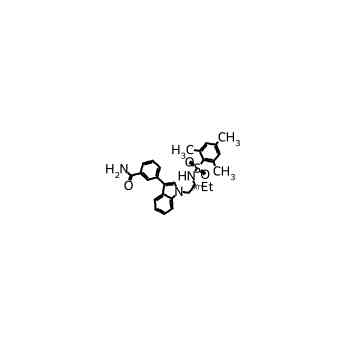 CC[C@H](Cn1cc(-c2cccc(C(N)=O)c2)c2ccccc21)NS(=O)(=O)c1c(C)cc(C)cc1C